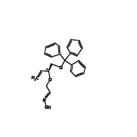 C=C[C@@H](COC(c1ccccc1)(c1ccccc1)c1ccccc1)OCC=NO